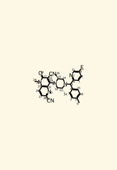 Cc1ccc(C(c2ccc(F)cn2)N2C[C@H](C)N(c3c(C#N)c(=O)n(C)c4ccc(C#N)nc34)C[C@H]2C)cc1